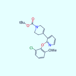 COc1cccc(Cl)c1Oc1ncccc1C1=CCN(C(=O)OC(C)(C)C)CC1